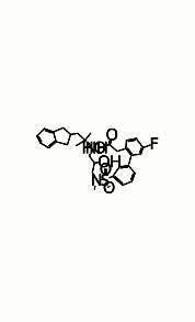 CN(CC(O)CNC(C)(C)CC1Cc2ccccc2C1)S(=O)(=O)c1cccc(-c2cc(F)ccc2CC(=O)O)c1